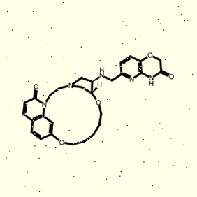 O=C1COc2ccc(CN[C@@H]3CN4CCn5c(=O)ccc6ccc(cc65)OCCCCCO[C@@H]3C4)nc2N1